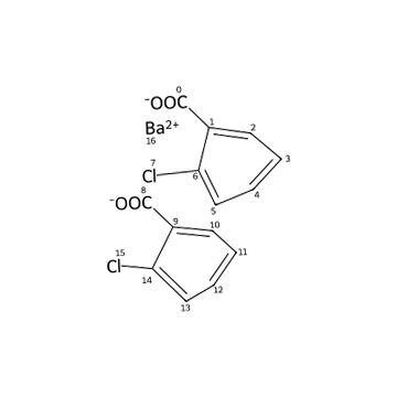 O=C([O-])c1ccccc1Cl.O=C([O-])c1ccccc1Cl.[Ba+2]